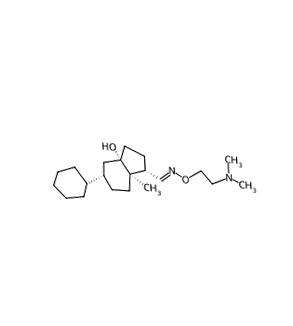 CN(C)CCON=C[C@H]1CC[C@]2(O)C[C@@H](C3CCCCC3)CC[C@]12C